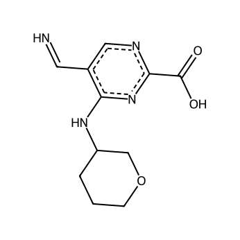 N=Cc1cnc(C(=O)O)nc1NC1CCCOC1